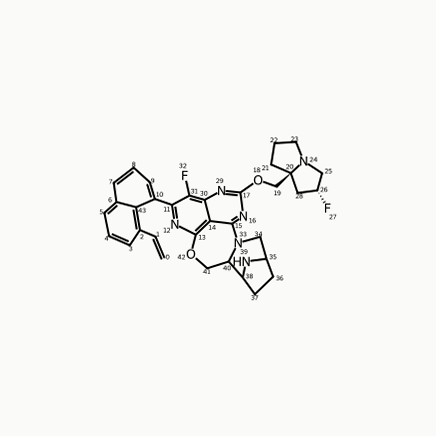 C=Cc1cccc2cccc(-c3nc4c5c(nc(OC[C@@]67CCCN6C[C@H](F)C7)nc5c3F)N3CC5CCC(N5)C3CO4)c12